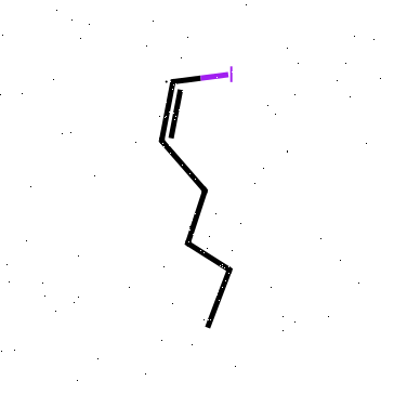 CCCC/C=[C]\I